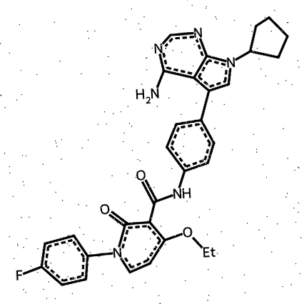 CCOc1ccn(-c2ccc(F)cc2)c(=O)c1C(=O)Nc1ccc(-c2cn(C3CCCC3)c3ncnc(N)c23)cc1